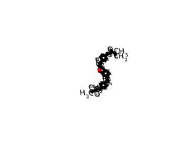 C=C(C)C(=O)OCc1ccc(C(F)(F)Oc2ccc3cc(OC(F)(F)c4ccc(COC(=O)C(=C)C)cc4)ccc3c2)cc1